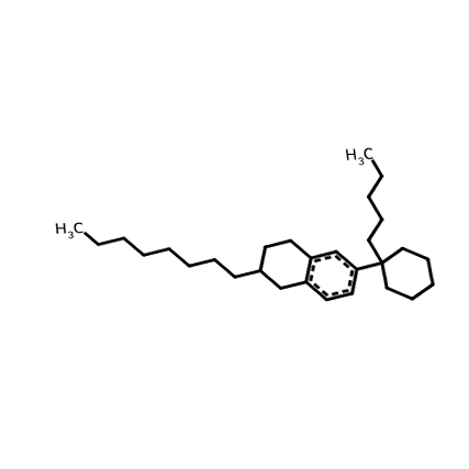 CCCCCCCCC1CCc2cc(C3(CCCCC)CCCCC3)ccc2C1